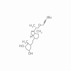 C=C1C(CCC2CCC[C@]3(C)C([C@H](C)COCC#CC(C)(C)C)=CC[C@@H]23)C[C@@H](O)C[C@@H]1O